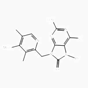 COc1c(C)cnc(Cn2c(=O)n(C(C)C)c3c(Cl)nc(N)nc32)c1C